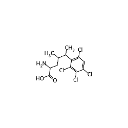 CC(CC(N)C(=O)O)C(C)c1c(Cl)cc(Cl)c(Cl)c1Cl